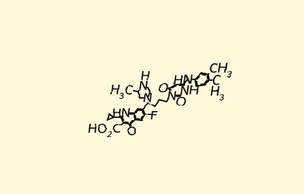 Cc1ccc(Nc2cc(=O)n(CCC[C@@H](c3cc4[nH]c(C5CC5)c(C(=O)O)c(=O)c4cc3F)N3CCNC(C)C3)c(=O)[nH]2)cc1C